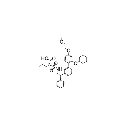 CCCN(C(=O)O)S(=O)(=O)NCC(c1ccccc1)c1cccc(-c2ccc(OCCOC)cc2OC2CCCCC2)c1